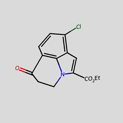 CCOC(=O)c1cc2c(Cl)ccc3c2n1CCC3=O